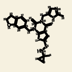 C=C1c2cc(SNC3(C)CC3)sc2N(Cc2ccc3c(c2)OCC3)C(=C)N1Cc1cnc(C)s1